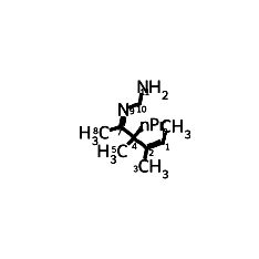 C/C=C(/C)C(C)(CCC)/C(C)=N\CN